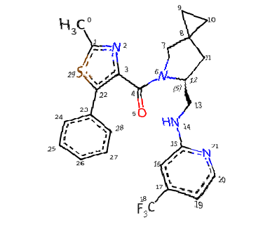 Cc1nc(C(=O)N2CC3(CC3)C[C@H]2CNc2cc(C(F)(F)F)ccn2)c(-c2ccccc2)s1